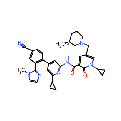 C[C@H]1CCCN(Cc2cc(C(=O)Nc3cc(-c4ccc(C#N)cc4-c4nccn4C)cc(C4CC4)n3)c(=O)n(C3CC3)c2)C1